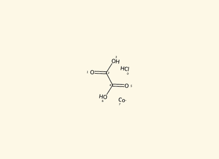 Cl.O=C(O)C(=O)O.[Co]